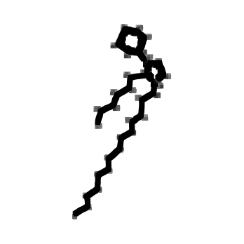 CCCCCCCCCCCCCC[n+]1ccn(-c2ccccc2)c1CCCCCC